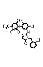 Cn1c(C(F)(F)F)cc(=O)n(-c2cc(N=C3SCC(=O)N3Cc3ccccc3Cl)c(Cl)cc2F)c1=O